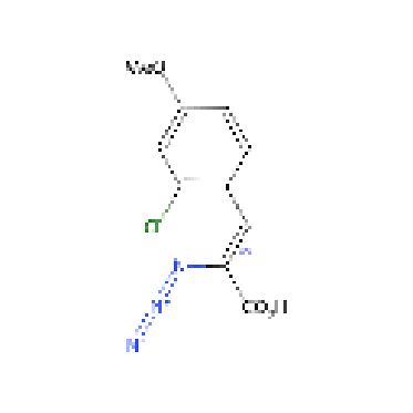 COc1ccc(/C=C(\N=[N+]=[N-])C(=O)O)c(Cl)c1